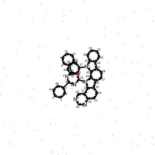 c1ccc(-c2nc(-c3ccccc3)nc(-n3c4c5cncnc5ccc4c4ccc5c6ccccc6n(-c6ccccc6)c5c43)n2)cc1